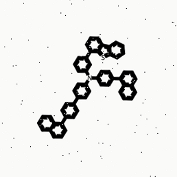 c1cc(-c2cccc3c2sc2ccccc23)cc(N(c2ccc(-c3ccc(-c4cccc5ccccc45)cc3)cc2)c2ccc(-c3cccc4ccccc34)cc2)c1